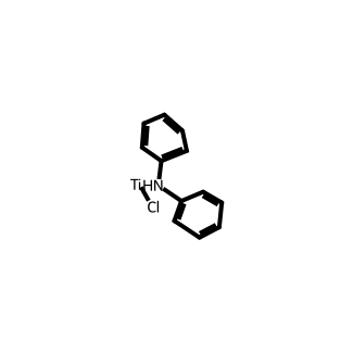 [Cl][Ti].c1ccc(Nc2ccccc2)cc1